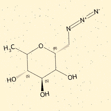 CC1O[C@H](CN=[N+]=[N-])C(O)[C@@H](O)[C@@H]1O